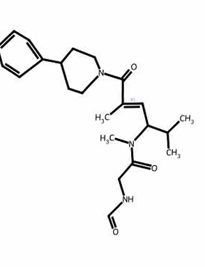 C/C(=C\C(C(C)C)N(C)C(=O)CNC=O)C(=O)N1CCC(c2ccccc2)CC1